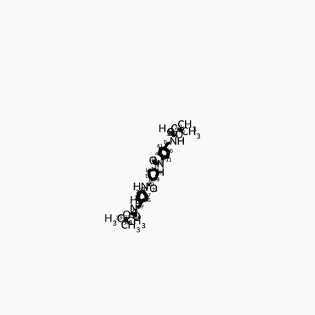 CC(C)(C)OC(=O)NCc1ccc(NC(=O)[C@H]2CC[C@@H](C(=O)Nc3ccc(CNC(=O)OC(C)(C)C)cc3)CC2)cc1